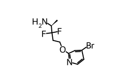 C[C@H](N)C(F)(F)CCOc1cc(Br)ccn1